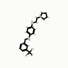 FC(F)(F)c1cccc(COc2ccc(OCCN3CCCC3)cc2)c1